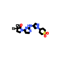 CC[C@]1(C#N)CCN(c2ccnc(Nc3cnn(C4CCS(=O)(=O)CC4)c3)n2)C1=O